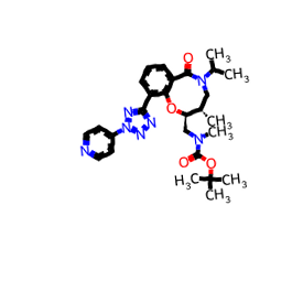 CC(C)N1C[C@H](C)[C@@H](CN(C)C(=O)OC(C)(C)C)Oc2c(cccc2-c2nnn(-c3ccncc3)n2)C1=O